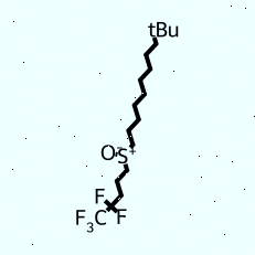 CC(C)(C)CCCCCCCCC[S+]([O-])CCCC(F)(F)C(F)(F)F